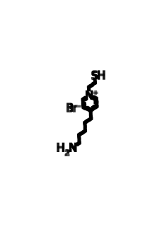 NCCCCCc1cc[n+](CCS)cc1.[Br-]